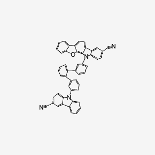 N#Cc1ccc2c(c1)c1ccccc1n2-c1cccc(-c2ccccc2-c2cccc(-n3c4ccc(C#N)cc4c4ccc5c6ccccc6oc5c43)c2)c1